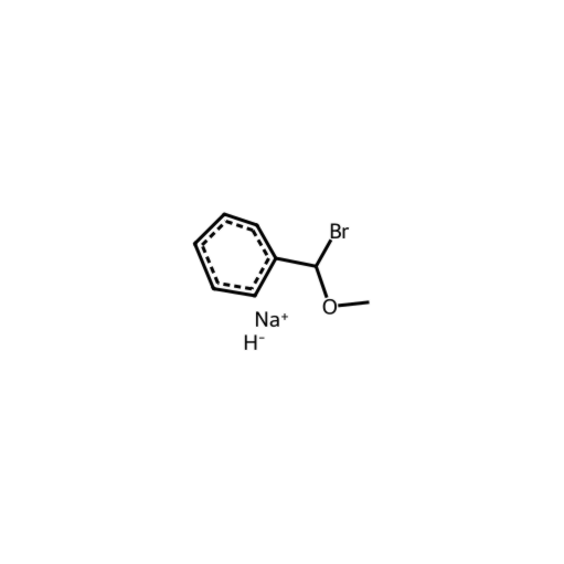 COC(Br)c1ccccc1.[H-].[Na+]